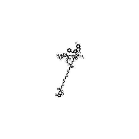 CC(C)(C)[C@H](c1cc(-c2cc(F)ccc2F)cn1Cc1ccccc1)N(CCCN(CC[Si](C)(C)C)C(=O)O)C(=O)CSCCC(=O)NCCOCCOCCOCCOCCNC(=O)CN1C(=O)C=CC1=O